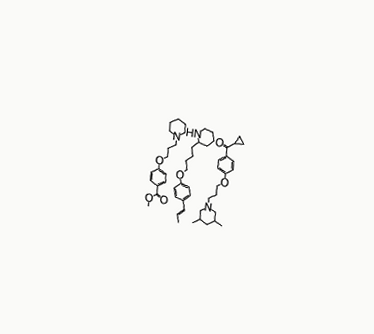 CC1CC(C)CN(CCCOc2ccc(C(=O)C3CC3)cc2)C1.CC=Cc1ccc(OCCCCC2CCCCN2)cc1.COC(=O)c1ccc(OCCCN2CCCCC2)cc1